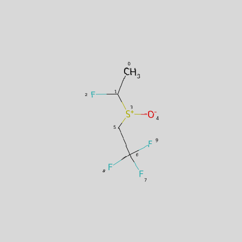 CC(F)[S+]([O-])CC(F)(F)F